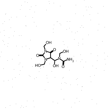 NC(=O)N(CO)C(O)C1C(=O)N(CO)C(=O)N1CO